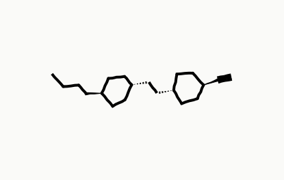 C#C[C@H]1CC[C@H](CC[C@H]2CC[C@H](CCCC)CC2)CC1